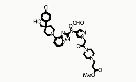 COC(=O)CCN1CCN(C(=O)Cn2cc(N(OC=O)c3nc4c(N5CCC(CO)(c6ccc(Cl)cc6)CC5)cccn4n3)cn2)CC1